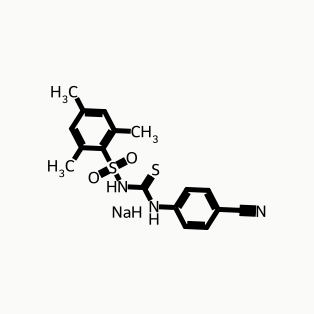 Cc1cc(C)c(S(=O)(=O)NC(=S)Nc2ccc(C#N)cc2)c(C)c1.[NaH]